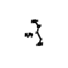 OCCOO.[PoH2]